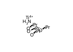 CC(C)[O-].CC(C)[O-].CC(C)[O-].CC(C)[O-].N.[Ti+4]